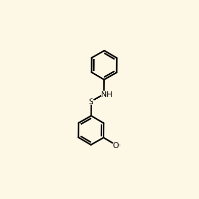 [O]c1cccc(SNc2ccccc2)c1